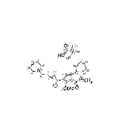 COc1c(C(=O)NCCCN2CCOCC2)sc2c1c(=O)n(C)c1ccccc21.O=C(O)C(F)(F)F